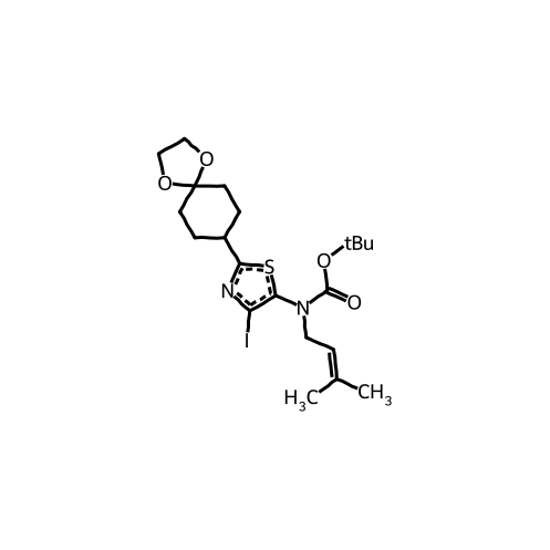 CC(C)=CCN(C(=O)OC(C)(C)C)c1sc(C2CCC3(CC2)OCCO3)nc1I